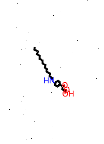 CCCCCCCCCCC=CCCCNc1ccc(C(=O)CC(=O)O)cc1